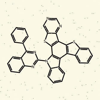 c1ccc(-c2nc(-n3c4ccccc4c4c5c6ccccc6sc5c5c6ncncc6sc5c43)nc3ccccc23)cc1